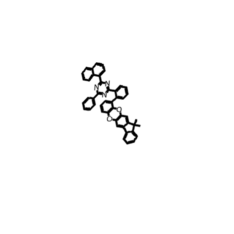 CC1(C)c2ccccc2-c2cc3c(cc21)Oc1c(cccc1-c1ccccc1-c1nc(-c2ccccc2)nc(-c2cccc4ccccc24)n1)O3